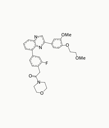 COCCOc1ccc(-c2cnc3cccc(-c4ccc(CC(=O)N5CCOCC5)c(F)c4)c3n2)cc1OC